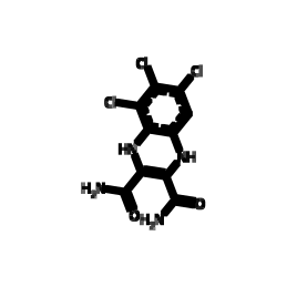 NC(=O)C1=C(C(N)=O)Nc2c(cc(Cl)c(Cl)c2Cl)N1